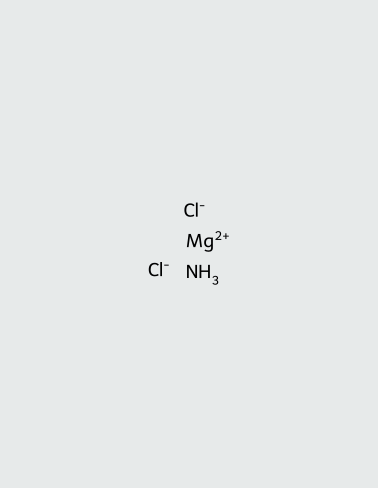 N.[Cl-].[Cl-].[Mg+2]